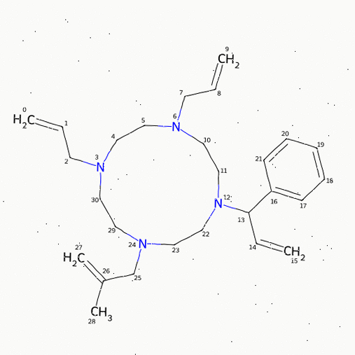 C=CCN1CCN(CC=C)CCN(C(C=C)c2ccccc2)CCN(CC(=C)C)CC1